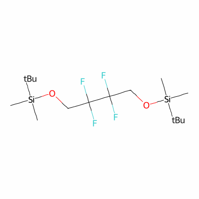 CC(C)(C)[Si](C)(C)OCC(F)(F)C(F)(F)CO[Si](C)(C)C(C)(C)C